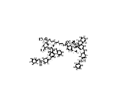 Cc1ccc(N(CCCCCCCCN(C(=O)O)c2ccc(C)c(NC(=O)N(Cc3ccccc3)c3ccc(Cc4ccc(NCc5ccccc5)cc4)cc3)c2)C(=O)O)cc1NC(=O)N(Cc1ccccc1)c1ccc(Cc2ccc(NCc3ccccc3)cc2)cc1